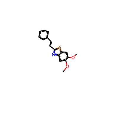 COc1cc2nc(/C=C/c3ccccc3)sc2cc1OC